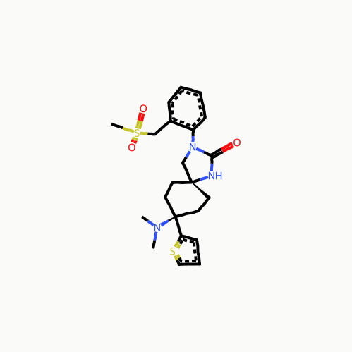 CN(C)[C@]1(c2cccs2)CC[C@@]2(CC1)CN(c1ccccc1CS(C)(=O)=O)C(=O)N2